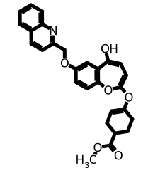 COC(=O)C1CC=C(OC2=CC=C(O)c3cc(OCc4ccc5ccccc5n4)ccc3O2)CC1